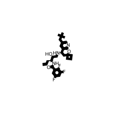 C=CC[C@H](NC(=O)c1cc(F)cc(F)c1F)[C@H](O)CN[C@H]1CC2(CCC2)Oc2ncc(CC(C)(C)C)cc21